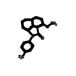 NOc1ccc2cccc3c2c1C(=O)N3c1ccc(C(F)(F)F)cc1